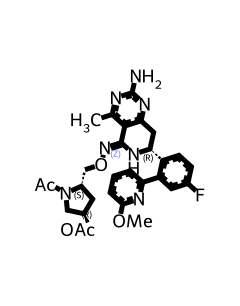 COc1cccc(-c2cc(F)ccc2[C@H]2Cc3nc(N)nc(C)c3/C(=N/OC[C@@H]3C[C@@H](OC(C)=O)CN3C(C)=O)N2)n1